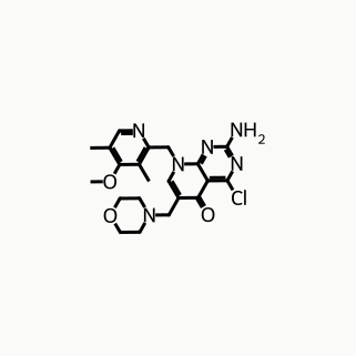 COc1c(C)cnc(Cn2cc(CN3CCOCC3)c(=O)c3c(Cl)nc(N)nc32)c1C